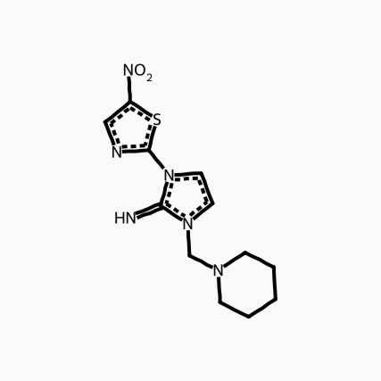 N=c1n(CN2CCCCC2)ccn1-c1ncc([N+](=O)[O-])s1